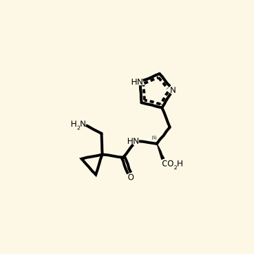 NCC1(C(=O)N[C@@H](Cc2c[nH]cn2)C(=O)O)CC1